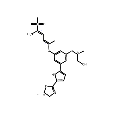 C=S(C)(=O)/C(N)=C/C=C(\C)Oc1cc(O[C@@H](C)CO)cc(-c2ccc(C3=NC[C@H](C)O3)[nH]2)c1